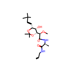 C=CCNC(=O)[C@H](C)NC(=O)[C@H](OC)[C@@H]1OC(C)(C)O[C@H](/C=C/C(C)(C)C)[C@@H]1O